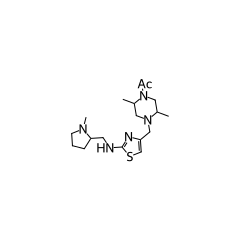 CC(=O)N1CC(C)N(Cc2csc(NCC3CCCN3C)n2)CC1C